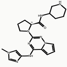 Cn1cnc(Nc2nc(N3CCC[C@H]3C(=O)NC3CCCNC3)nn3cccc23)c1